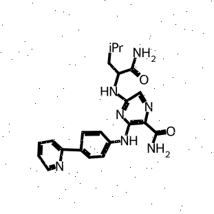 CC(C)CC(Nc1cnc(C(N)=O)c(Nc2ccc(-c3ccccn3)cc2)n1)C(N)=O